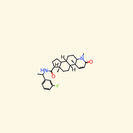 CC(NC(=O)C1CC[C@H]2[C@@H]3CCC4N(C)C(=O)C=C[C@]4(C)[C@@H]3CC[C@]12C)c1cccc(F)c1